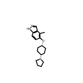 Cc1c(O[C@H]2CC[C@@H](N3CCCC3)CC2)ccc2[nH]ncc12